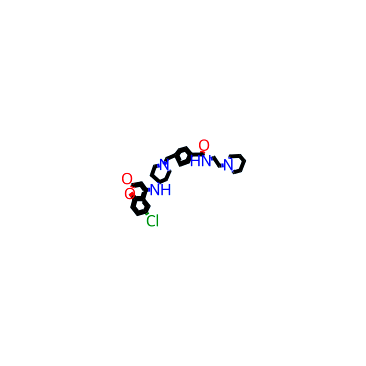 O=C(NCCN1CCCCC1)c1ccc(CN2CCC(Nc3cc(=O)oc4ccc(Cl)cc34)CC2)cc1